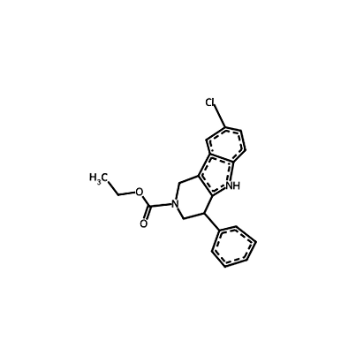 CCOC(=O)N1Cc2c([nH]c3ccc(Cl)cc23)C(c2ccccc2)C1